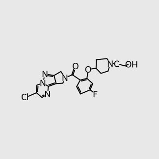 O=C(c1ccc(F)cc1OC1CCN(CCO)CC1)N1Cc2nn3cc(Cl)cnc3c2C1